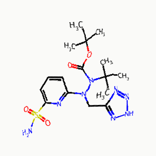 CC(C)(C)OC(=O)N(N(Cc1nn[nH]n1)c1cccc(S(N)(=O)=O)n1)C(C)(C)C